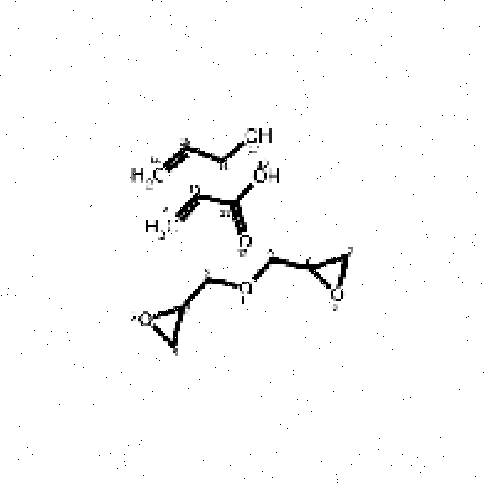 C(OCC1CO1)C1CO1.C=CC(=O)O.C=CCO